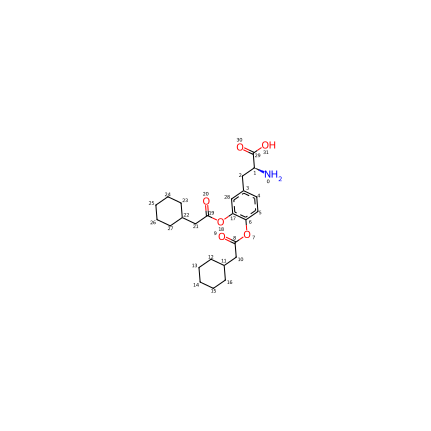 N[C@@H](Cc1ccc(OC(=O)CC2CCCCC2)c(OC(=O)CC2CCCCC2)c1)C(=O)O